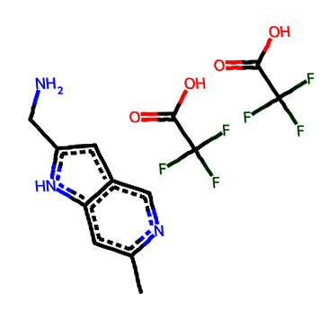 Cc1cc2[nH]c(CN)cc2cn1.O=C(O)C(F)(F)F.O=C(O)C(F)(F)F